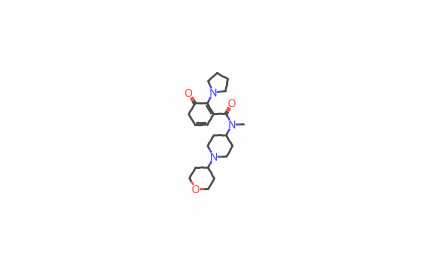 CN(C(=O)C1=C(N2CCCC2)C(=O)CC=C1)C1CCN(C2CCOCC2)CC1